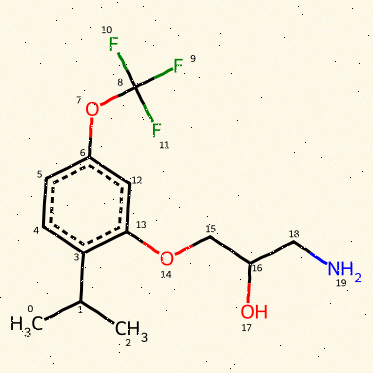 CC(C)c1ccc(OC(F)(F)F)cc1OCC(O)CN